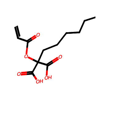 C=CC(=O)OC(CCCCCC)(C(=O)O)C(=O)O